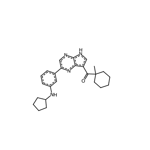 CC1(C(=O)c2c[nH]c3ncc(-c4cccc(NC5CCCC5)c4)nc23)CCCCC1